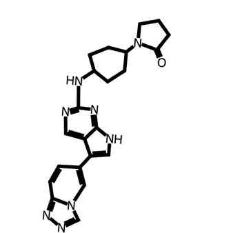 O=C1CCCN1C1CCC(Nc2ncc3c(-c4ccc5nncn5c4)c[nH]c3n2)CC1